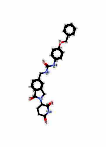 O=C1CCC(N2Cc3cc(CNC(=O)Nc4ccc(OCc5ccccc5)cc4)ccc3C2=O)C(=O)N1